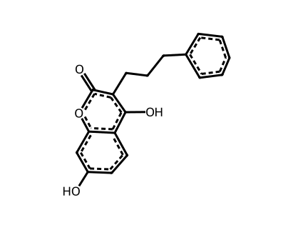 O=c1oc2cc(O)ccc2c(O)c1CCCc1ccccc1